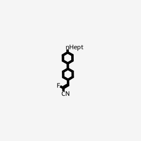 CCCCCCCC1CCC(C2CCC(C=C(F)C#N)CC2)CC1